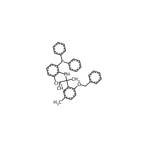 CCC(C)(Pc1c(C)cccc1P(c1ccccc1)c1ccccc1)c1cc(C)ccc1OCc1ccccc1